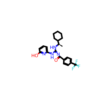 C[C@@H](N/C(=N/C(=O)c1ccc(C(F)(F)F)cc1)Nc1cccc(O)n1)C1CCCCC1